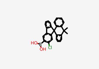 CC1(C)c2ccccc2C2(c3ccccc3-c3cc(B(O)O)c(Cl)cc32)c2ccccc21